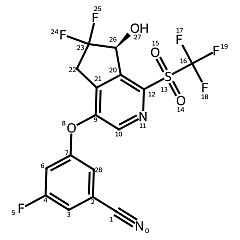 N#Cc1cc(F)cc(Oc2cnc(S(=O)(=O)C(F)(F)F)c3c2CC(F)(F)[C@H]3O)c1